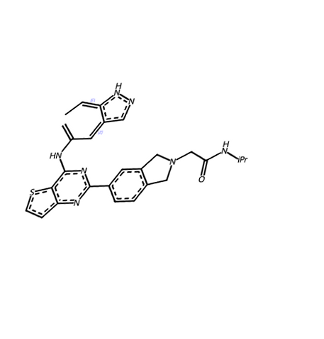 C=C(/C=c1/cn[nH]/c1=C/C)Nc1nc(-c2ccc3c(c2)CN(CC(=O)NC(C)C)C3)nc2ccsc12